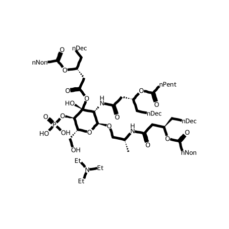 CCCCCCCCCCC[C@H](CC(=O)N[C@H](C)CO[C@H]1O[C@H](CO)[C@@H](OP(=O)(O)O)[C@](O)(OC(=O)C[C@@H](CCCCCCCCCCC)OC(=O)CCCCCCCCC)[C@@H]1NC(=O)C[C@@H](CCCCCCCCCCC)OC(=O)CCCCC)OC(=O)CCCCCCCCC.CCN(CC)CC